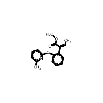 CC=C(C(=O)OC)c1ccccc1Oc1cccc(C)n1